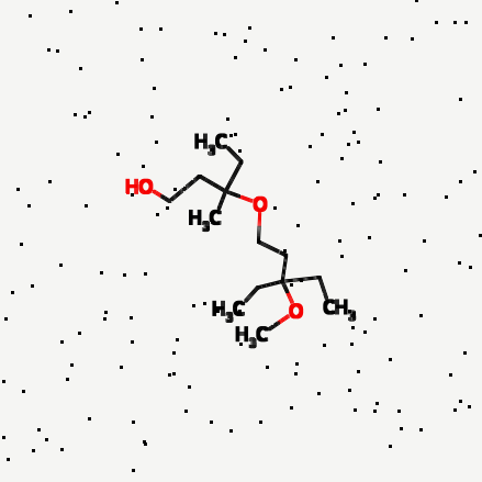 CCC(C)(CCO)OCCC(CC)(CC)OC